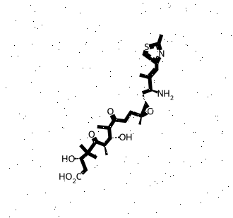 C/C(=C\c1csc(C)n1)[C@@H](N)C[C@@H]1O[C@]1(C)CCC(=O)C(C)[C@H](O)[C@@H](C)C(=O)C(C)(C)[C@@H](O)CC(=O)O